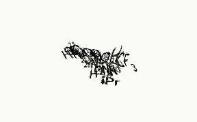 CC(=Cc1nn(CCC(C)C)c(=O)c(C2=NS(=O)(=O)c3cc(NS(C)(=O)=O)ccc3N2)c1O)C(F)(F)F